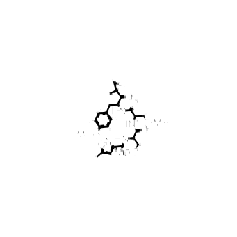 COCC(NC(=O)c1cc(C)on1)C(=O)NC(COC)C(=O)NC(Cc1ccc(OC)cc1)C(=O)C1(C)CO1